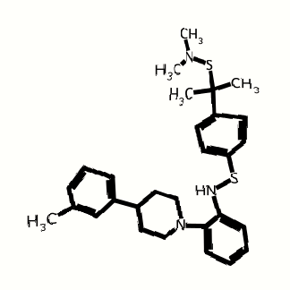 Cc1cccc(C2CCN(c3ccccc3NSc3ccc(C(C)(C)SN(C)C)cc3)CC2)c1